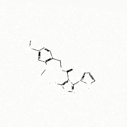 COc1ccc(CNC(=O)c2c(-c3ccco3)noc2N)c(OC)c1